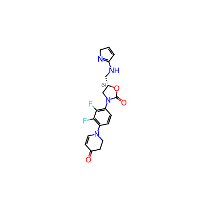 O=C1C=CN(c2ccc(N3C[C@H](CNC4=NCC=C4)OC3=O)c(F)c2F)CC1